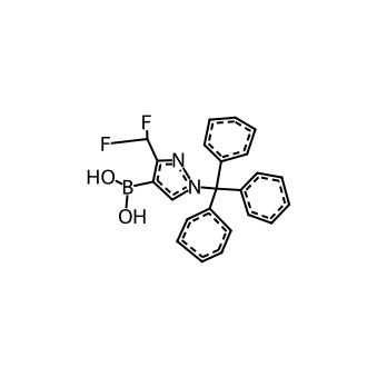 OB(O)c1cn(C(c2ccccc2)(c2ccccc2)c2ccccc2)nc1C(F)F